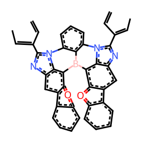 C=C/C(=C\C)c1nc2cc3c(oc4ccccc43)c3c2n1-c1cccc2c1B3c1c3oc4ccccc4c3cc3nc(/C(C=C)=C/C)n-2c13